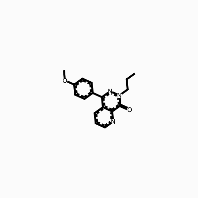 CCCn1nc(-c2ccc(OC)cc2)c2cccnc2c1=O